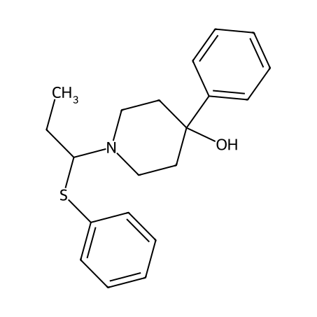 CCC(Sc1ccccc1)N1CCC(O)(c2ccccc2)CC1